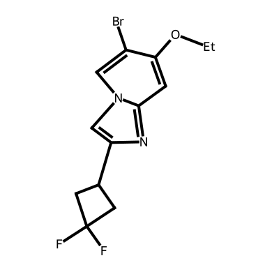 CCOc1cc2nc(C3CC(F)(F)C3)cn2cc1Br